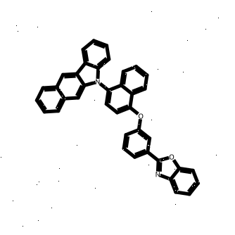 c1cc(Oc2ccc(-n3c4ccccc4c4cc5ccccc5cc43)c3ccccc23)cc(-c2nc3ccccc3o2)c1